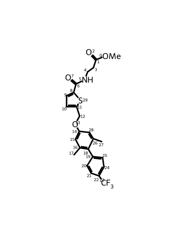 COC(=O)CCNC(=O)c1ccc(COc2cc(C)c(-c3ccc(C(F)(F)F)cc3)c(C)c2)s1